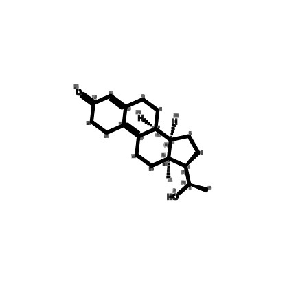 C[C@@H](O)[C@@H]1CC[C@@H]2[C@@H]3CCC4=CC(=O)CCC4=C3CC[C@@]21C